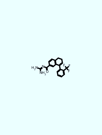 NC(N)=NC(=O)c1ccc2c(c1)C(c1ccccc1C(F)(F)F)=CCC2